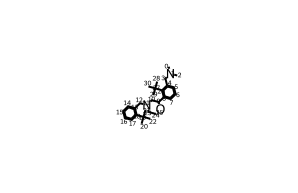 CN(C)Cc1cccc(C2CN(Cc3ccccc3C(C)(C)C)CCO2)c1C(C)(C)C